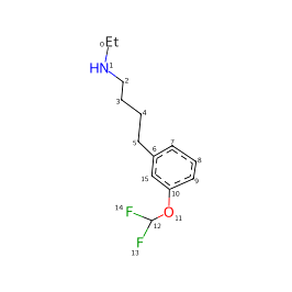 CCNCCCCc1cccc(OC(F)F)c1